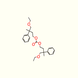 CCOCC(C)(CCOC(=O)OCCC(C)(COCC)c1ccccc1)c1ccccc1